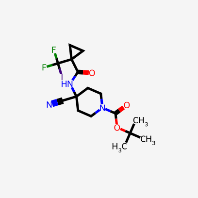 CC(C)(C)OC(=O)N1CCC(C#N)(NC(=O)C2(C(F)(F)I)CC2)CC1